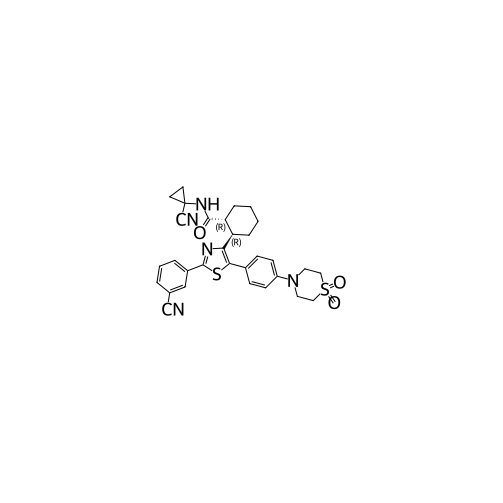 N#Cc1cccc(-c2nc([C@@H]3CCCC[C@H]3C(=O)NC3(C#N)CC3)c(-c3ccc(N4CCS(=O)(=O)CC4)cc3)s2)c1